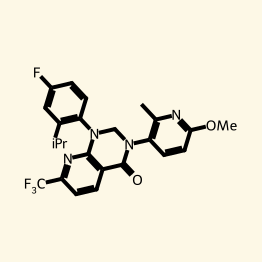 COc1ccc(N2CN(c3ccc(F)cc3C(C)C)c3nc(C(F)(F)F)ccc3C2=O)c(C)n1